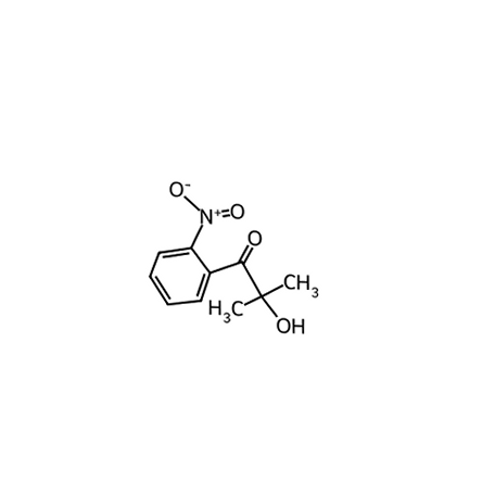 CC(C)(O)C(=O)c1ccccc1[N+](=O)[O-]